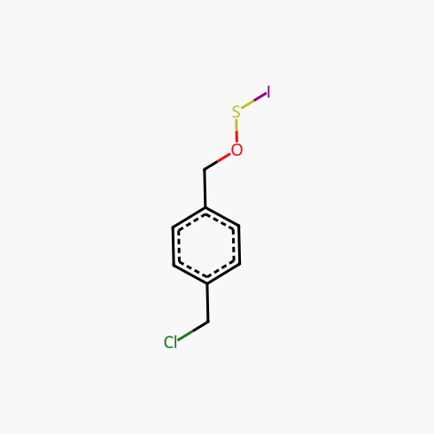 ClCc1ccc(COSI)cc1